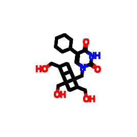 O=c1[nH]c(=O)n(CC23C4C5C6(CO)C4C2(CO)C6C53CO)cc1C1CCCCC1